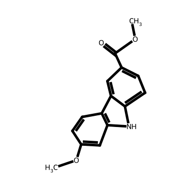 COC(=O)c1ccc2[nH]c3cc(OC)ccc3c2c1